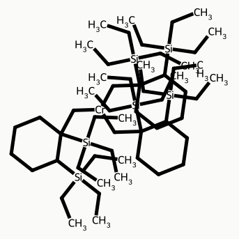 CC[Si](CC)(CC)C1CCCCC1([CH2][Cr]([CH2]C1([Si](CC)(CC)CC)CCCCC1[Si](CC)(CC)CC)[CH2]C1([Si](CC)(CC)CC)CCCCC1[Si](CC)(CC)CC)[Si](CC)(CC)CC